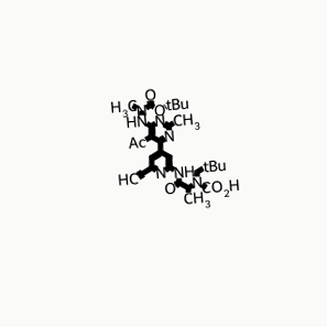 C#Cc1cc(-c2nc(C)nc(NN(C)C(=O)OC(C)(C)C)c2C(C)=O)cc(NC(=O)C(C)N(CC(C)(C)C)C(=O)O)n1